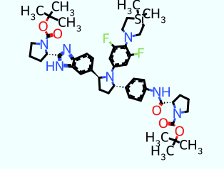 CC(C)(C)OC(=O)N1CCC[C@H]1C(=O)Nc1ccc([C@@H]2CC[C@@H](c3ccc4nc([C@@H]5CCCN5C(=O)OC(C)(C)C)[nH]c4c3)N2c2cc(F)c(N3CC[Si](C)(C)CC3)c(F)c2)cc1